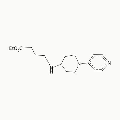 CCOC(=O)CCCNC1CCN(c2ccncc2)CC1